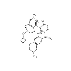 COc1cc2c(cc1Nc1ncc(Cl)c(Nc3ccc(OC4COC4)cc3OP(C)C)n1)CN(C)CC2.P